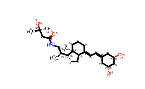 C[C@@H](CNC(=O)C[C@@](C)(O)C(F)(F)F)[C@H]1CCC2C(=CC=C3C[C@@H](O)C[C@H](O)C3)CCC[C@@]21C